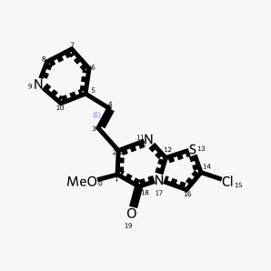 COc1c(/C=C/c2cccnc2)nc2sc(Cl)cn2c1=O